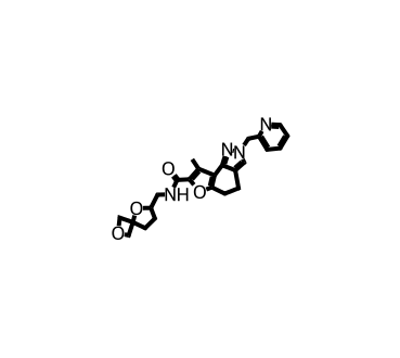 Cc1c(C(=O)NCC2CCC3(COC3)O2)oc2c1-c1nn(Cc3ccccn3)cc1CC2